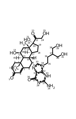 C[C@]12CCC(=O)C=C1CC[C@@H]1[C@@H]2[C@@H](O)C[C@@]2(C)[C@H]1CC[C@]2(O)C(=O)CO.Nc1nc(=O)c2ncn(CCC(CO)CO)c2[nH]1